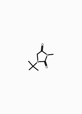 CN1C(=O)CN(C(C)(C)C)C1=O